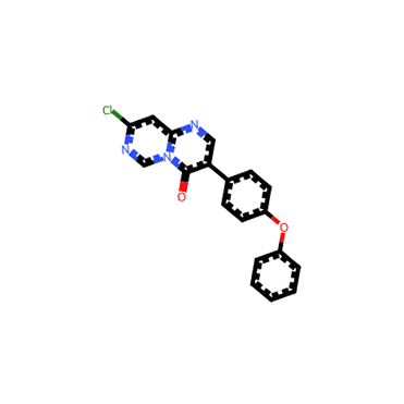 O=c1c(-c2ccc(Oc3ccccc3)cc2)cnc2cc(Cl)ncn12